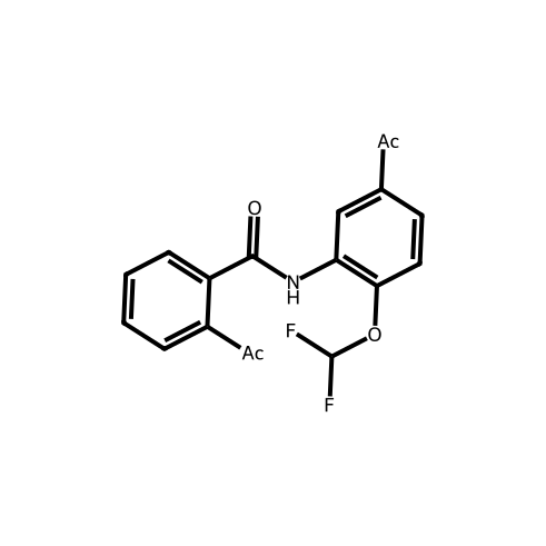 CC(=O)c1ccc(OC(F)F)c(NC(=O)c2ccccc2C(C)=O)c1